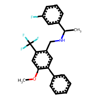 COc1cc(C(F)(F)F)c(CNC(C)c2cccc(F)c2)cc1-c1ccccc1